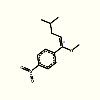 CO/C(=C/CC(C)C)c1ccc([SH](=O)=O)cc1